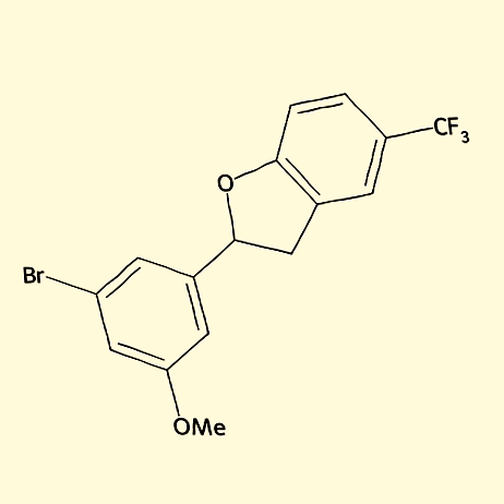 COc1cc(Br)cc(C2Cc3cc(C(F)(F)F)ccc3O2)c1